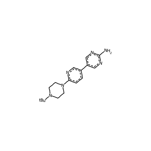 CC(C)(C)N1CCN(c2ccc(-c3cnc(N)nc3)cn2)CC1